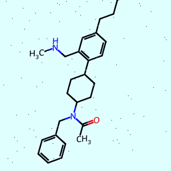 CNCc1cc(CCCO)ccc1C1CCC(N(Cc2ccccc2)C(C)=O)CC1